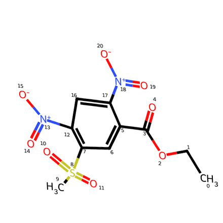 CCOC(=O)c1cc(S(C)(=O)=O)c([N+](=O)[O-])cc1[N+](=O)[O-]